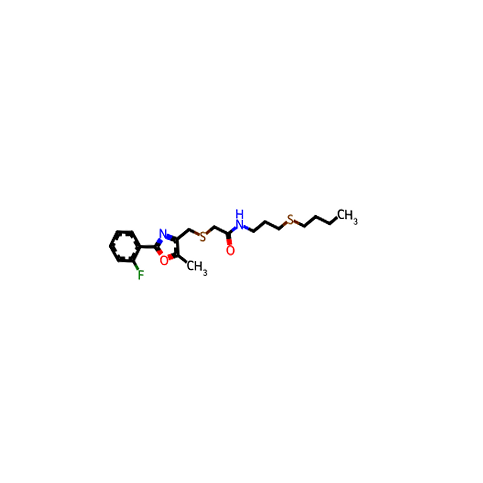 CCCCSCCCNC(=O)CSCc1nc(-c2ccccc2F)oc1C